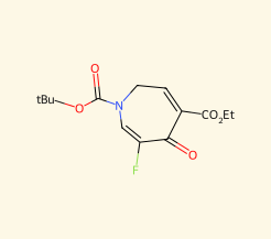 CCOC(=O)C1=CCN(C(=O)OC(C)(C)C)C=C(F)C1=O